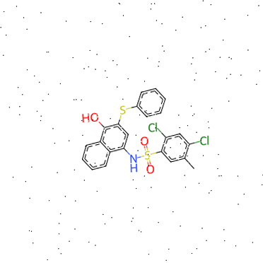 Cc1cc(S(=O)(=O)Nc2cc(Sc3ccccc3)c(O)c3ccccc23)c(Cl)cc1Cl